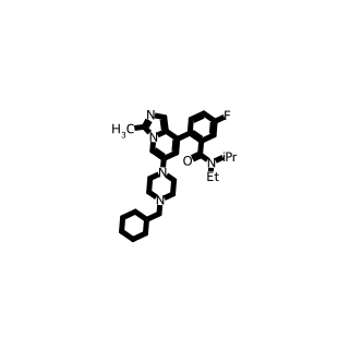 CCN(C(=O)c1cc(F)ccc1-c1cc(N2CCN(CC3CCCCC3)CC2)cn2c(C)ncc12)C(C)C